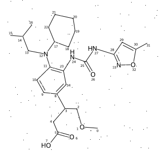 COCC(CC(=O)O)c1ccc(N(CC(C)C)C2CCCCC2)c(NC(=O)Nc2cc(C)on2)c1